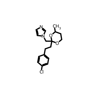 CC1CCOC(CCc2ccc(Cl)cc2)(Cn2ccnc2)O1